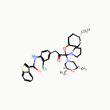 C[C@@H]1CN(C(O[C@H]2CC[C@H](C(=O)O)CC2)(C(=O)Cc2ccc(NC(=O)c3csc4ccccc34)c(Cl)c2)N2CCCC2)C[C@H](C)O1